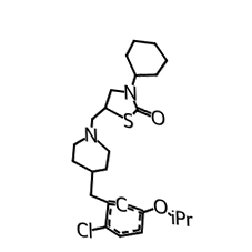 CC(C)Oc1ccc(Cl)c(CC2CCN(CC3CN(C4CCCCC4)C(=O)S3)CC2)c1